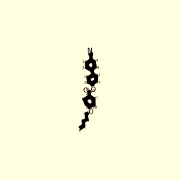 C=CCCCOc1ccc(C(=O)Oc2ccc(-c3ccc(C#N)cc3)cc2)cc1